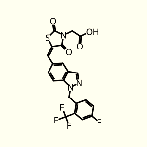 O=C(O)CN1C(=O)SC(=Cc2ccc3c(cnn3Cc3ccc(F)cc3C(F)(F)F)c2)C1=O